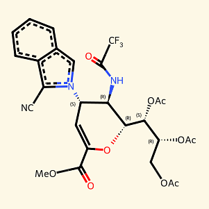 COC(=O)C1=C[C@H](n2cc3ccccc3c2C#N)[C@@H](NC(=O)C(F)(F)F)[C@H]([C@H](OC(C)=O)[C@@H](COC(C)=O)OC(C)=O)O1